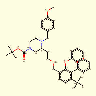 COc1ccc(CN2CCN(C(=O)OC(C)(C)C)CC2CCOCc2ccc(C(C)(C)C)c(-c3ccccc3)c2Oc2ccccc2)cc1